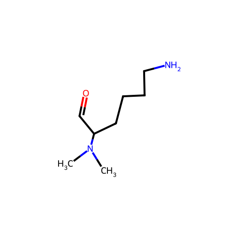 CN(C)C(C=O)CCCCN